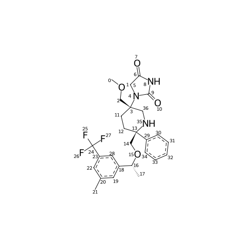 COC[C@]1(N2CC(=O)NC2=O)CC[C@@](CO[C@H](C)c2cc(C)cc(C(F)(F)F)c2)(c2ccccc2)NC1